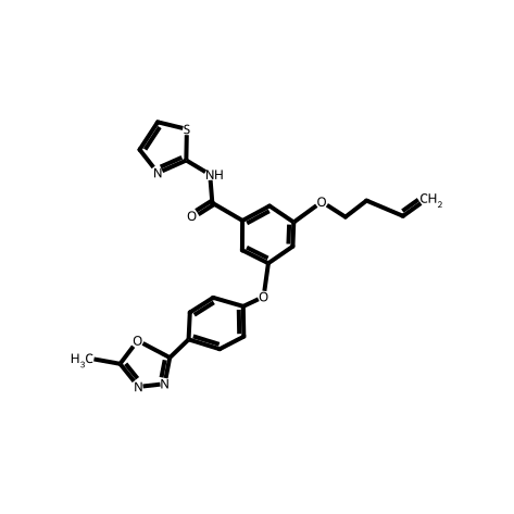 C=CCCOc1cc(Oc2ccc(-c3nnc(C)o3)cc2)cc(C(=O)Nc2nccs2)c1